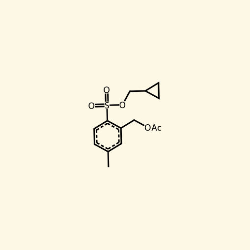 CC(=O)OCc1cc(C)ccc1S(=O)(=O)OCC1CC1